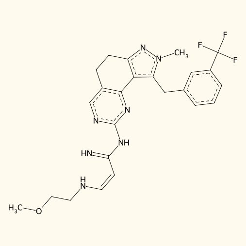 COCCN/C=C\C(=N)Nc1ncc2c(n1)-c1c(nn(C)c1Cc1cccc(C(F)(F)F)c1)CC2